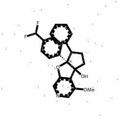 COc1cncc2c1C1(O)CCC(c3ccccc3)[C@]1(c1ccc(C(F)F)cc1)O2